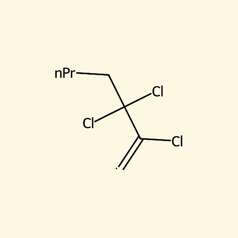 [CH]=C(Cl)C(Cl)(Cl)CCCC